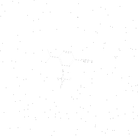 CC(C)c1ccc([N+]#N)cc1.F[B-](F)(F)F